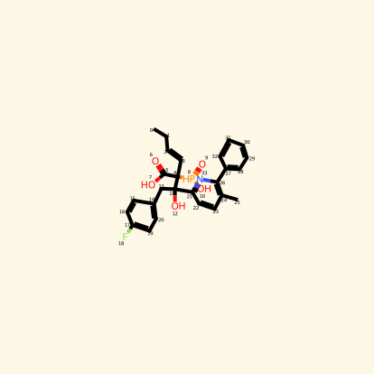 CCC=CC(C(=O)O)([PH](=O)O)C(O)(Cc1ccc(F)cc1)c1ccc(C)c(-c2ccccc2)n1